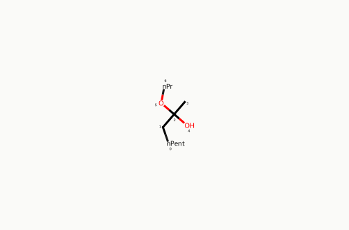 CCCCCCC(C)(O)OCCC